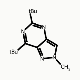 Cn1cc2nc(C(C)(C)C)nc(C(C)(C)C)c2n1